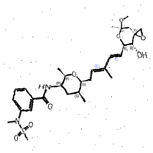 CO[C@@]1(C)C[C@@]2(CO2)[C@H](O)[C@@H](/C=C/C(C)=C/C[C@@H]2O[C@H](C)[C@H](NC(=O)c3cccc(N(C)S(C)(=O)=O)c3)C[C@@H]2C)O1